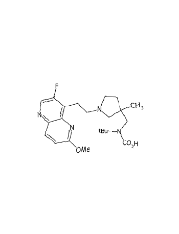 COc1ccc2ncc(F)c(CCN3CCC(C)(CN(C(=O)O)C(C)(C)C)C3)c2n1